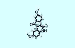 COc1ccc2c(c1)C(=O)c1c-2c(=O)[nH]c2ccc(OC)cc12